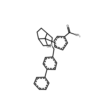 NC(=O)c1cccc(C2(O)C3CCC2CN(Cc2ccc(-c4ccccc4)cc2)C3)c1